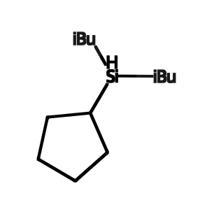 CCC(C)[SiH](C(C)CC)C1CCCC1